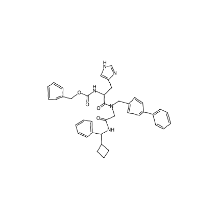 O=C(CN(Cc1ccc(-c2ccccc2)cc1)C(=O)C(Cc1c[nH]cn1)NC(=O)OCc1ccccc1)NC(c1ccccc1)C1CCC1